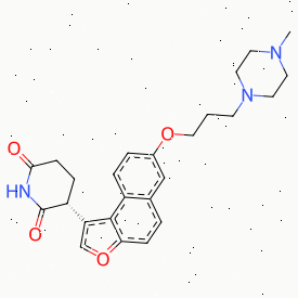 CN1CCN(CCCOc2ccc3c(ccc4occ([C@H]5CCC(=O)NC5=O)c43)c2)CC1